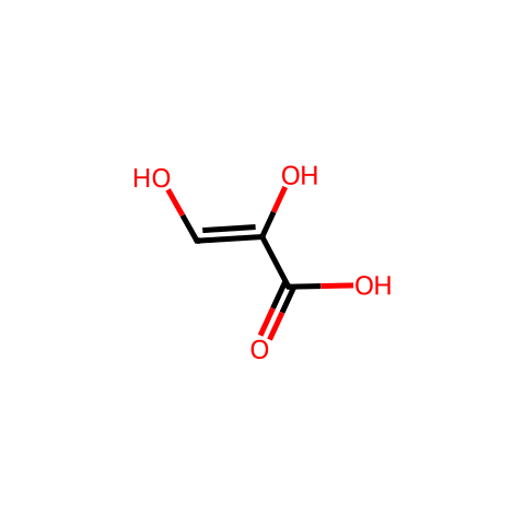 O=C(O)/C(O)=C/O